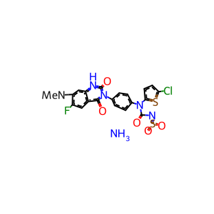 CNc1cc2[nH]c(=O)n(-c3ccc(N(C(=O)N=S(=O)=O)c4ccc(Cl)s4)cc3)c(=O)c2cc1F.N